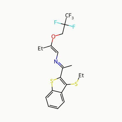 CCSc1c(/C(C)=N/C=C(\CC)OCC(F)(F)C(F)(F)F)sc2ccccc12